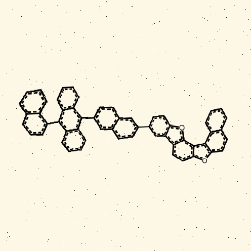 c1ccc2c(-c3c4ccccc4c(-c4ccc5cc(-c6ccc7oc8c(ccc9oc%10ccc%11ccccc%11c%10c98)c7c6)ccc5c4)c4ccccc34)cccc2c1